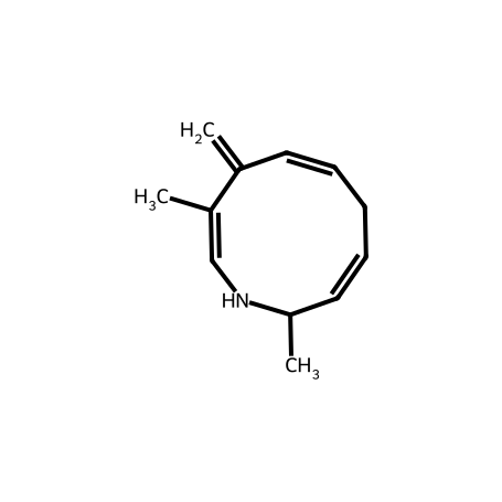 C=C1/C=C\C/C=C\C(C)N/C=C\1C